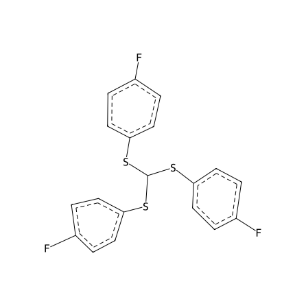 Fc1ccc(SC(Sc2ccc(F)cc2)Sc2ccc(F)cc2)cc1